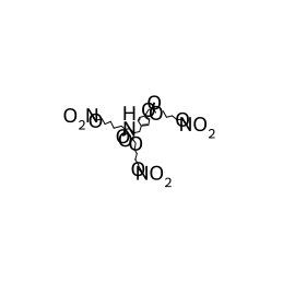 O=C(CCCCCO[N+](=O)[O-])NC(Cc1ccc(OC(=O)OCCCCO[N+](=O)[O-])cc1)C(=O)OCCCCO[N+](=O)[O-]